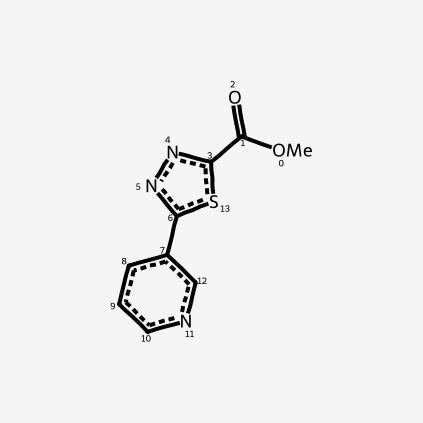 COC(=O)c1nnc(-c2cccnc2)s1